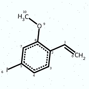 C=Cc1ccc(I)cc1OC